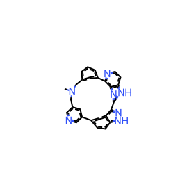 CN1Cc2cncc(c2)-c2ccc3[nH]nc(c3c2)-c2nc3c(nccc3[nH]2)-c2cccc(c2)C1